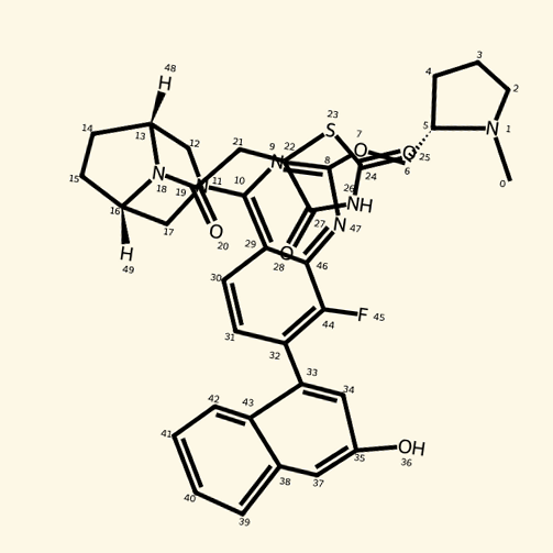 CN1CCC[C@H]1COc1nc(N2C[C@H]3CC[C@@H](C2)N3C(=O)CC2SC(=O)NC2=O)c2ccc(-c3cc(O)cc4ccccc34)c(F)c2n1